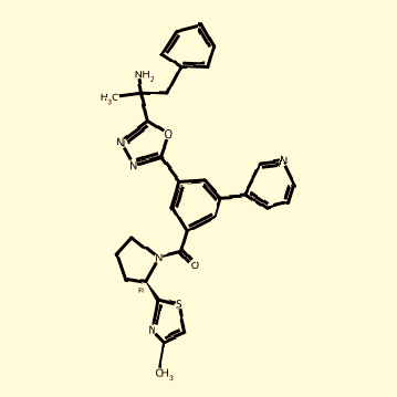 Cc1csc([C@H]2CCCN2C(=O)c2cc(-c3cccnc3)cc(-c3nnc(C(C)(N)Cc4ccccc4)o3)c2)n1